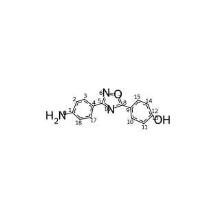 Nc1ccc(-c2noc(-c3ccc(O)cc3)n2)cc1